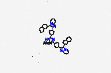 CN/C(=N\C(=N)c1ccc(-c2nc3ccccn3c2-c2ccc3ccccc3c2)cc1)c1ccc(-c2nc3ccccn3c2-c2ccc3ccccc3c2)cc1